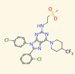 CS(=O)(=O)CCNc1nc(N2CCC(C(F)(F)F)CC2)c2nc(-c3ccccc3Cl)n(-c3ccc(Cl)cc3)c2n1